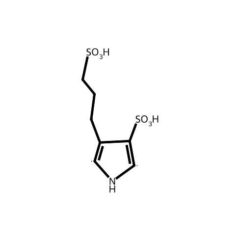 O=S(=O)(O)CCCc1[c][nH][c]c1S(=O)(=O)O